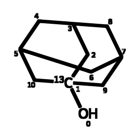 O[13C]12CC3CC(CC(C3)C1)C2